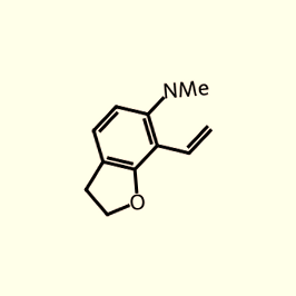 C=Cc1c(NC)ccc2c1OCC2